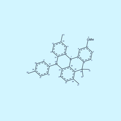 COc1ccc2c(c1)B1c3cc(C)ccc3N(c3ccc(C)cc3)c3ccc(C)c(c31)C2(C)C